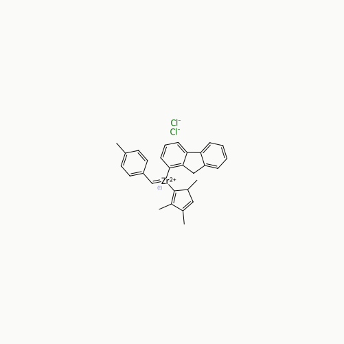 CC1=CC(C)[C](/[Zr+2](=[CH]/c2ccc(C)cc2)[c]2cccc3c2Cc2ccccc2-3)=C1C.[Cl-].[Cl-]